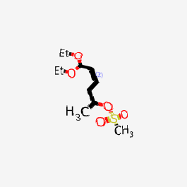 CCOC(/C=C\CC(C)OS(C)(=O)=O)OCC